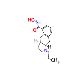 CCCN1CC[C@H]2Cc3c(cccc3C(=O)NO)C[C@@H]21